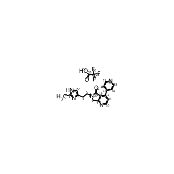 Cc1nc(CCN2Cc3nccc(-c4ccncc4)c3C2=O)c[nH]1.O=C(O)C(F)(F)F